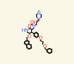 CN1CCN(CCCN(CC2CNCC(OCc3ccc4ccccc4c3)C2c2ccc(OCCCOCc3ccccc3)cc2)C(=O)O)CC1